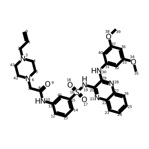 C=CCN1CCN(CC(=O)Nc2cccc(S(=O)(=O)Nc3nc4ccccc4nc3Nc3cc(OC)cc(OC)c3)c2)CC1